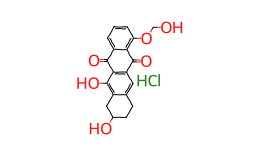 Cl.O=C1c2cc3c(c(O)c2C(=O)c2cccc(OCO)c21)CC(O)CC3